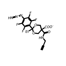 C#CCNC(=O)C1(C(=O)[O-])COC(CC)(c2c(F)c(F)c(N=[N+]=N)c(F)c2F)OC1